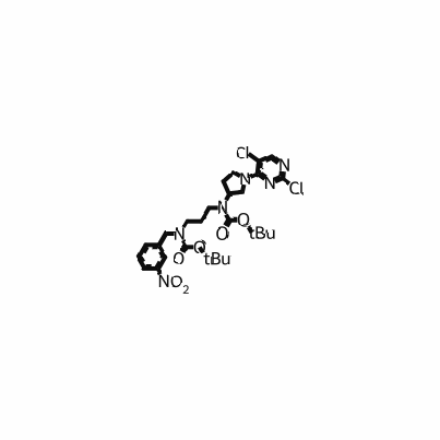 CC(C)(C)OC(=O)N(CCCN(C(=O)OC(C)(C)C)C1CCN(c2nc(Cl)ncc2Cl)C1)Cc1cccc([N+](=O)[O-])c1